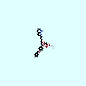 COC(=O)CC(=O)OC(/C=C/c1ccc(OCc2ccccc2)c(F)c1)CCCCc1ccc2c(n1)NCCC2